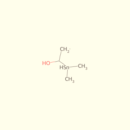 [CH2][CH](O)[SnH]([CH3])[CH3]